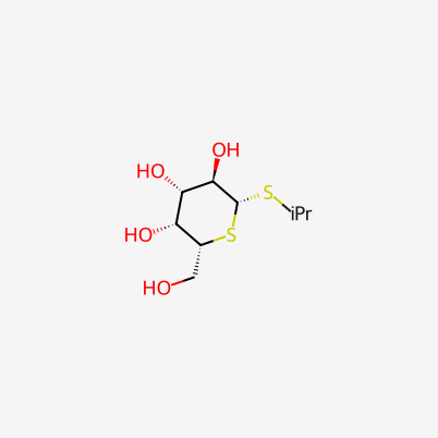 CC(C)S[C@@H]1S[C@H](CO)[C@H](O)[C@H](O)[C@H]1O